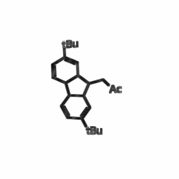 CC(=O)CC1C2C=C(C(C)(C)C)C=CC2C2C=CC(C(C)(C)C)=CC21